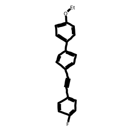 CCOc1ccc(-c2ccc(C#Cc3ccc(F)cc3)cc2)cc1